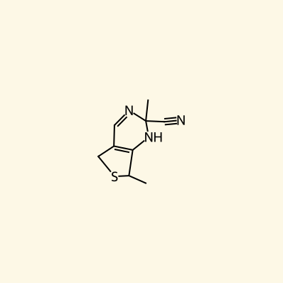 CC1SCC2=C1NC(C)(C#N)N=C2